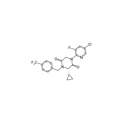 O=C1[C@H](C2CC2)N(Cc2ccc(C(F)(F)F)cc2)C(=O)CN1c1ncc(Cl)cc1F